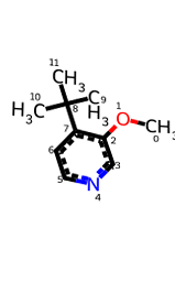 COc1[c]nccc1C(C)(C)C